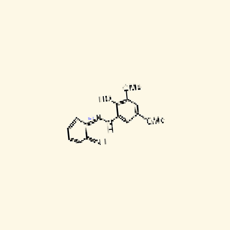 COc1cc(N/N=C2/C=CC=CC2=N)c(O)c(OC)c1